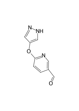 O=Cc1ccc(Oc2cn[nH]c2)nc1